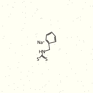 S=C([S-])NCc1ccccc1.[Na+]